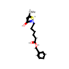 COc1cc(=O)n(CCCCCC(=O)OCc2ccccc2)s1